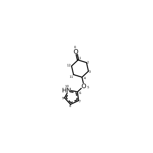 O=C1CCC(Oc2ccc[nH]2)CC1